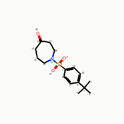 CC(C)(C)c1ccc(S(=O)(=O)N2CCCC(=O)CC2)cc1